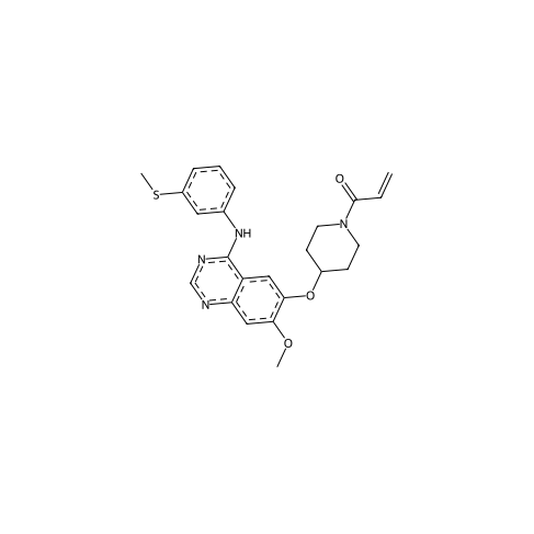 C=CC(=O)N1CCC(Oc2cc3c(Nc4cccc(SC)c4)ncnc3cc2OC)CC1